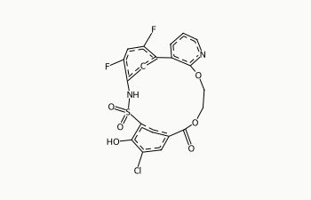 O=C1OCCOc2ncccc2-c2cc(c(F)cc2F)NS(=O)(=O)c2cc1cc(Cl)c2O